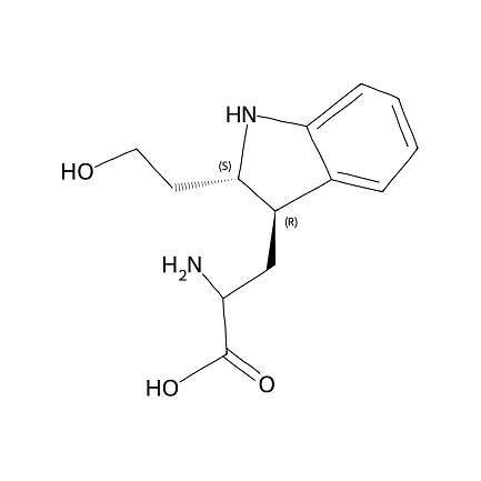 NC(C[C@@H]1c2ccccc2N[C@H]1CCO)C(=O)O